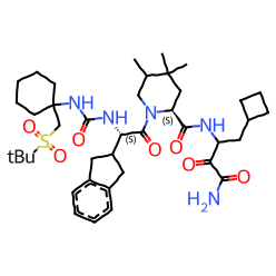 CC1CN(C(=O)[C@@H](NC(=O)NC2(CS(=O)(=O)C(C)(C)C)CCCCC2)C2Cc3ccccc3C2)[C@H](C(=O)NC(CC2CCC2)C(=O)C(N)=O)CC1(C)C